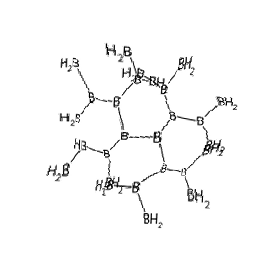 BBB(B)B(B(B(B)B)B(B)B)B(B(B(B)B)B(B)B)B(B(B)B)B(B)B